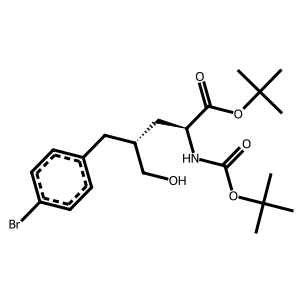 CC(C)(C)OC(=O)N[C@@H](C[C@H](CO)Cc1ccc(Br)cc1)C(=O)OC(C)(C)C